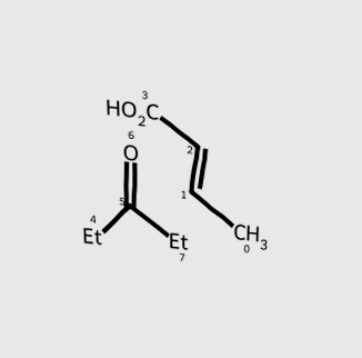 CC=CC(=O)O.CCC(=O)CC